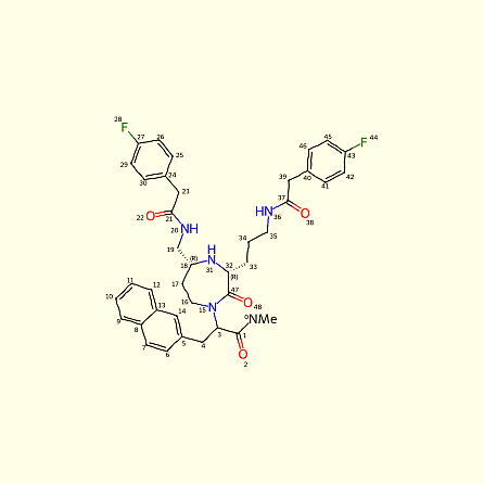 CNC(=O)C(Cc1ccc2ccccc2c1)N1CC[C@H](CNC(=O)Cc2ccc(F)cc2)N[C@H](CCCNC(=O)Cc2ccc(F)cc2)C1=O